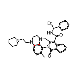 CC[C@H](NC(=O)c1c(CN2CCN(CCN3CCCCC3)CC2)n(-c2ccccc2C)c(=O)c2ccccc12)c1ccccc1